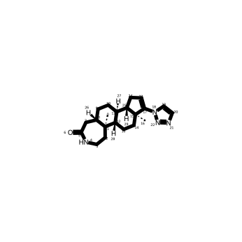 C[C@]12CCNC(=O)C[C@@H]1CC[C@@H]1[C@@H]2CC[C@]2(C)C(n3ccnn3)=CC[C@@H]12